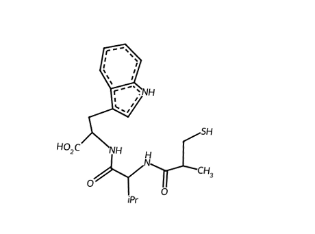 CC(CS)C(=O)NC(C(=O)NC(Cc1c[nH]c2ccccc12)C(=O)O)C(C)C